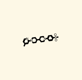 Cc1ccnc(N2CCC(C3CCN(c4ccc(S(C)(=O)=O)cc4)CC3)CC2)c1